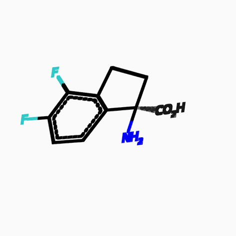 N[C@]1(C(=O)O)CCc2c1ccc(F)c2F